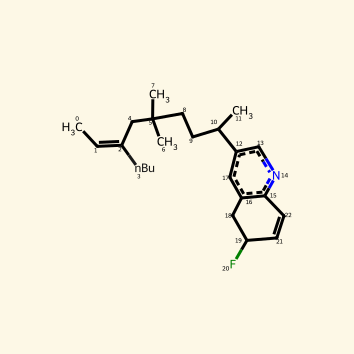 C/C=C(/CCCC)CC(C)(C)CCC(C)c1cnc2c(c1)CC(F)C=C2